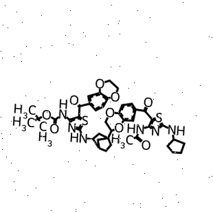 CC(=O)Nc1nc(NC2CCCC2)sc1C(=O)c1ccc2c(c1)OC(C13CCC(C1)[C@@H](Nc1nc(NC(=O)OC(C)(C)C)c(C(=O)c4ccc5c(c4)OCCO5)s1)C3)CO2